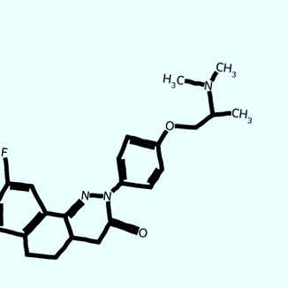 CC(COc1ccc(N2N=C3c4cc(F)ccc4CCC3CC2=O)cc1)N(C)C